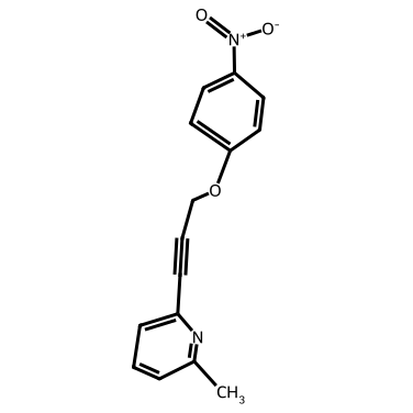 Cc1cccc(C#CCOc2ccc([N+](=O)[O-])cc2)n1